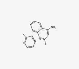 Cc1cc(N)c2ccccc2n1.Cc1cnccn1